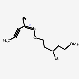 CC#C/C(=N\OCCN(CC)CCOC)C(C)C